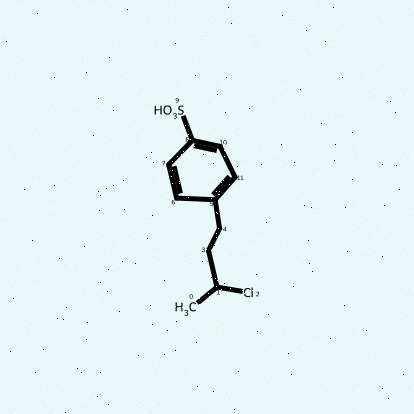 CC(Cl)CCc1ccc(S(=O)(=O)O)cc1